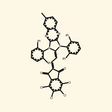 Cc1ccc2nc3c(nc2c1)N(c1c(C(C)C)cccc1C(C)C)/C(=C\C=C1C(=O)c2c(Cl)c(Cl)c(Cl)c(Cl)c2C1=O)N3c1c(C(C)C)cccc1C(C)C